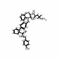 CC(C)(N)CC(=O)N[C@@H]1CCc2ccccc2N(Cc2ccc(-c3ccccc3C(=O)NCc3ccc(O)cc3)cc2)C1=O